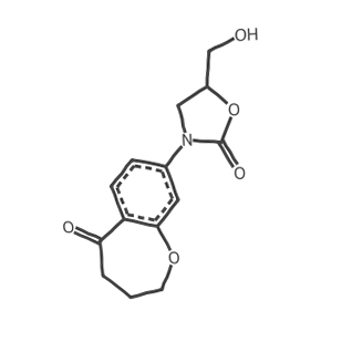 O=C1CCCOc2cc(N3CC(CO)OC3=O)ccc21